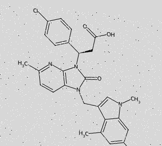 Cc1cc(C)c2c(Cn3c(=O)n([C@H](CC(=O)O)c4ccc(Cl)cc4)c4nc(C)ccc43)cn(C)c2c1